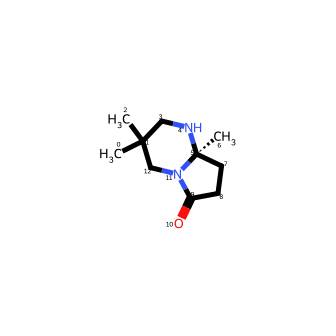 CC1(C)CN[C@@]2(C)CCC(=O)N2C1